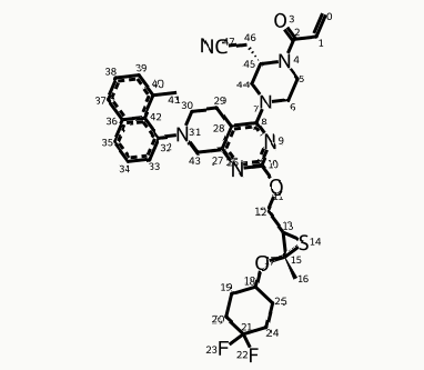 C=CC(=O)N1CCN(c2nc(OCC3S[C@]3(C)OC3CCC(F)(F)CC3)nc3c2CCN(c2cccc4cccc(C)c24)C3)C[C@@H]1CC#N